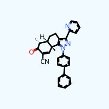 C[C@H]1C(=O)C(C#N)=C[C@@]2(C)c3c(c(-c4ccccn4)nn3-c3ccc(-c4ccccc4)cc3)CC[C@H]12